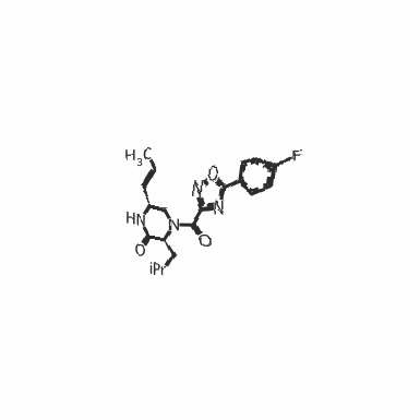 C/C=C/[C@H]1CN(C(=O)c2noc(-c3ccc(F)cc3)n2)[C@@H](CC(C)C)C(=O)N1